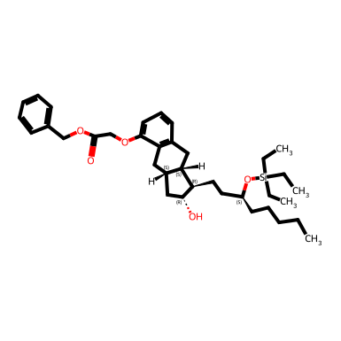 CCCCC[C@@H](CC[C@@H]1[C@H]2Cc3cccc(OCC(=O)OCc4ccccc4)c3C[C@H]2C[C@H]1O)O[Si](CC)(CC)CC